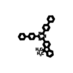 CC1(C)c2ccccc2-c2ccc(-c3nc(-c4ccc(-c5ccccc5)cc4)nc(-c4ccc(-c5ccccc5)cc4)n3)cc21